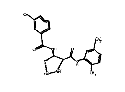 Cc1ccc(C)c(NC(=O)C2NNSC2NC(=O)c2cccc(Cl)c2)c1